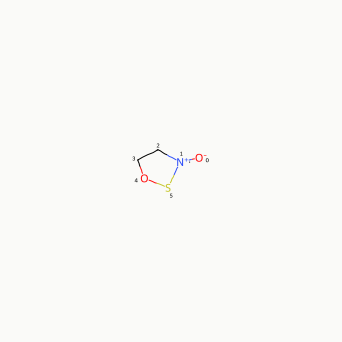 [O-][N+]1CCOS1